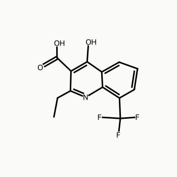 CCc1nc2c(C(F)(F)F)cccc2c(O)c1C(=O)O